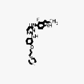 Cc1cc2c(F)c(Nc3ccnc(Nc4cccc(OCCCN5CCSCC5)c4)n3)ccc2[nH]1